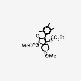 CCOC(=O)OC1=C(c2cc(C)c(C)cc2C)C(=O)N(OCOC)C12CCN(OC)CC2